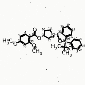 COc1ccc(C(=O)O[C@@H]2CC[SH](CO[Si](c3ccccc3)(c3ccccc3)C(C)(C)C)C2)c(OC)c1